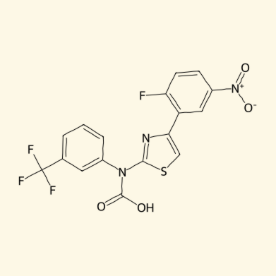 O=C(O)N(c1cccc(C(F)(F)F)c1)c1nc(-c2cc([N+](=O)[O-])ccc2F)cs1